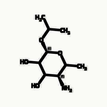 CC(C)O[C@H]1OC(C)[C@@H](N)C(O)C1O